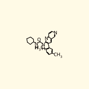 Cc1ccc(C)c(-c2cc3cnccc3nc2NC(=O)NC2CCCCC2)c1